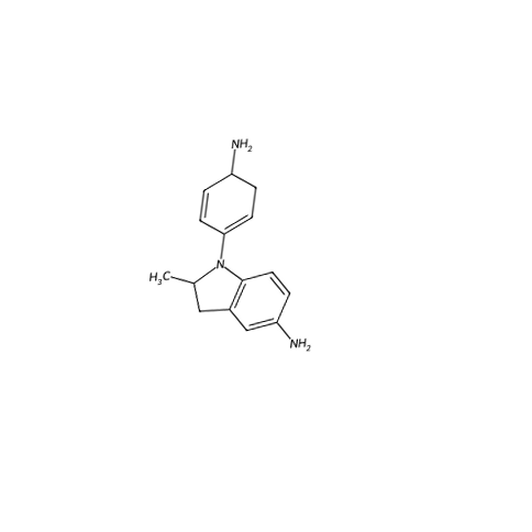 CC1Cc2cc(N)ccc2N1C1=CCC(N)C=C1